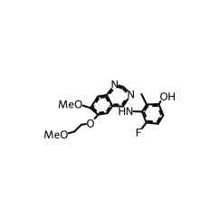 COCCOc1cc2c(Nc3c(F)ccc(O)c3C)ncnc2cc1OC